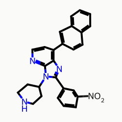 O=[N+]([O-])c1cccc(-c2nc3c(-c4ccc5ccccc5c4)ccnc3n2C2CCNCC2)c1